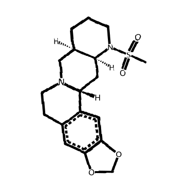 CS(=O)(=O)N1CCC[C@@H]2CN3CCc4cc5c(cc4[C@H]3C[C@@H]21)OCO5